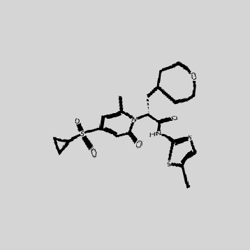 Cc1cnc(NC(=O)[C@@H](CC2CCOCC2)n2c(C)cc(S(=O)(=O)C3CC3)cc2=O)s1